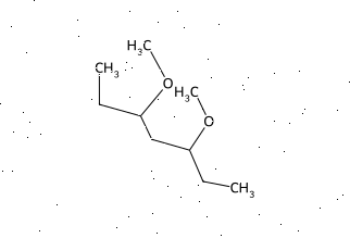 CCC(CC(CC)OC)OC